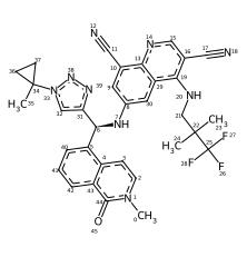 Cn1ccc2c([C@H](Nc3cc(C#N)c4ncc(C#N)c(NCC(C)(C)C(F)(F)F)c4c3)c3cn(C4(C)CC4)nn3)cccc2c1=O